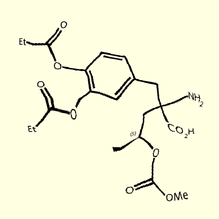 CCC(=O)Oc1ccc(CC(N)(C[C@H](C)OC(=O)OC)C(=O)O)cc1OC(=O)CC